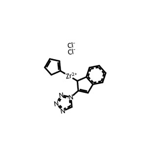 C1=CC[C]([Zr+2][CH]2C(n3cnnn3)=Cc3ccccc32)=C1.[Cl-].[Cl-]